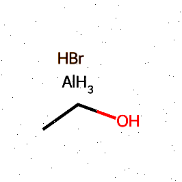 Br.CCO.[AlH3]